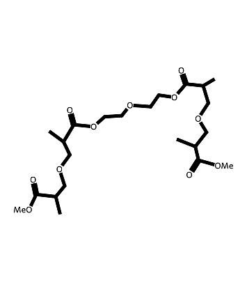 COC(=O)C(C)COCC(C)C(=O)OCCOCCOC(=O)C(C)COCC(C)C(=O)OC